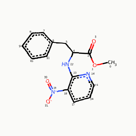 COC(=O)C(Cc1ccccc1)Nc1ncccc1[N+](=O)[O-]